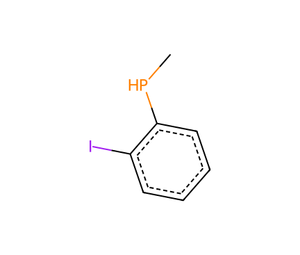 CPc1ccccc1I